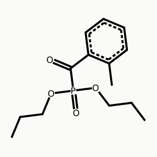 CCCOP(=O)(OCCC)C(=O)c1ccccc1C